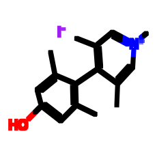 Cc1cc(O)cc(C)c1-c1c(C)c[n+](C)cc1C.[I-]